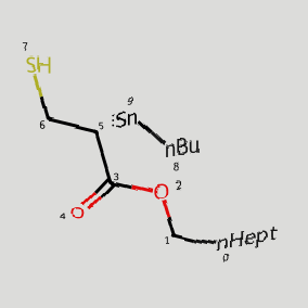 CCCCCCCCOC(=O)CCS.CCC[CH2][Sn]